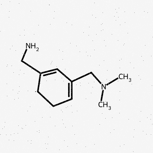 CN(C)CC1=CC[CH]C(CN)=C1